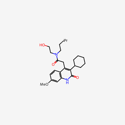 COc1ccc2c(CC(=O)N(CCO)CCC(C)C)c(C3CCCCC3)c(=O)[nH]c2c1